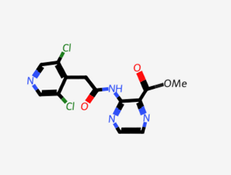 COC(=O)c1nccnc1NC(=O)Cc1c(Cl)cncc1Cl